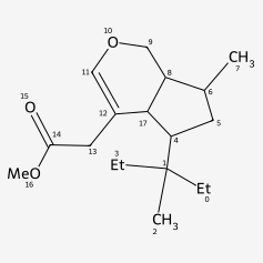 CCC(C)(CC)C1CC(C)C2COC=C(CC(=O)OC)C21